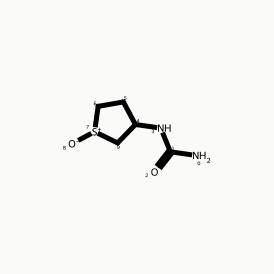 NC(=O)NC1CC[S+]([O-])C1